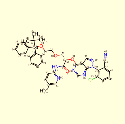 Cc1ccc(NC(=O)[C@H](COCCO[Si](c2ccccc2)(c2ccccc2)C(C)(C)C)Oc2ncnc3c2cnn3-c2c(Cl)cccc2C#N)nc1